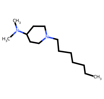 CCCCCCCN1CCC(N(C)C)CC1